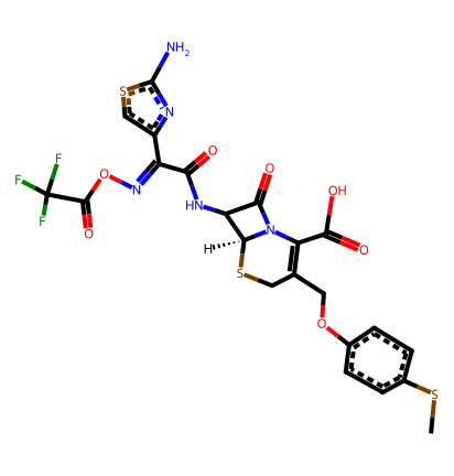 CSc1ccc(OCC2=C(C(=O)O)N3C(=O)C(NC(=O)C(=NOC(=O)C(F)(F)F)c4csc(N)n4)[C@@H]3SC2)cc1